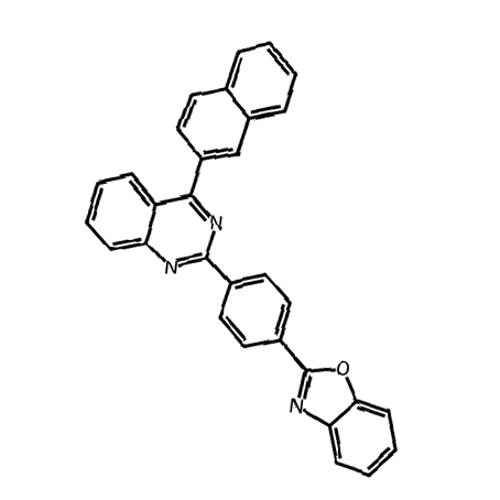 c1ccc2cc(-c3nc(-c4ccc(-c5nc6ccccc6o5)cc4)nc4ccccc34)ccc2c1